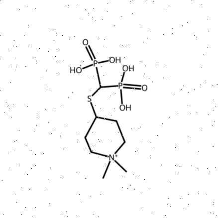 C[N+]1(C)CCC(SC(P(=O)(O)O)P(=O)(O)O)CC1